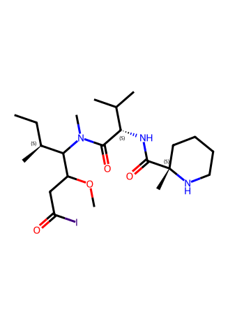 CC[C@H](C)C(C(CC(=O)I)OC)N(C)C(=O)[C@@H](NC(=O)[C@]1(C)CCCCN1)C(C)C